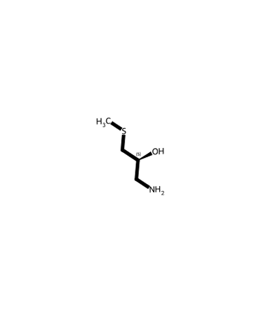 CSC[C@@H](O)CN